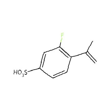 C=C(C)c1ccc(S(=O)(=O)O)cc1F